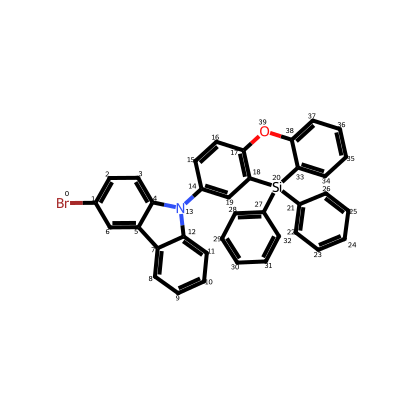 Brc1ccc2c(c1)c1ccccc1n2-c1ccc2c(c1)[Si](c1ccccc1)(c1ccccc1)c1ccccc1O2